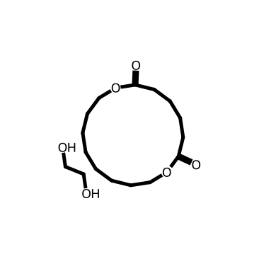 O=C1CCCCC(=O)OCCCCCCCCO1.OCCO